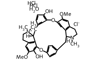 COc1cc2c3cc1Oc1cc(ccc1O)C[C@@H]1c4c(cc(OC)c(O)c4Oc4ccc(cc4)C[C@@H]3N(C)CC2)CC[N+]1(C)C.Cl.Cl.O.[Cl-]